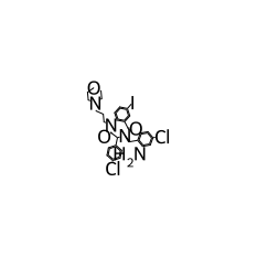 Nc1cc(Cl)ccc1CN1C(=O)c2cc(I)ccc2N(CCCN2CCOCC2)C(=O)C1c1ccc(Cl)cc1